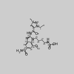 CCn1nc(C)cc1C(=O)Nc1nc2cc(C(N)=O)cc(OC)c2n1CCCCNC(=O)O